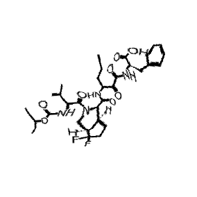 CCCC(NC(=O)C1[C@H]2CCC(F)(F)[C@H]2CN1C(=O)C(NC(=O)OC(C)C)C(C)C)C(=O)C(=O)N[C@H](Cc1ccccc1)C(=O)O